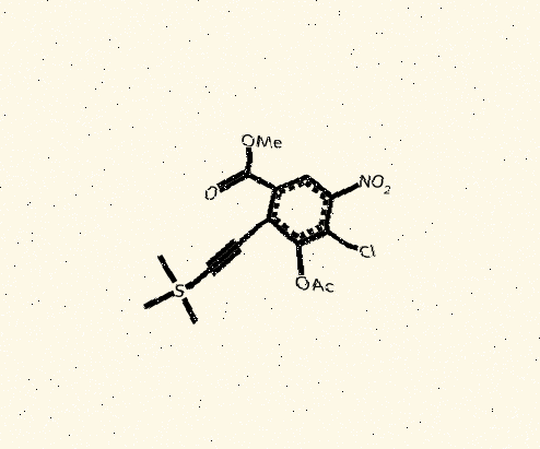 COC(=O)c1cc([N+](=O)[O-])c(Cl)c(OC(C)=O)c1C#CS(C)(C)C